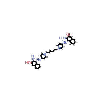 Nc1c(O)cc2ccccc2c1N=Nc1cc[n+](CCCCCC[n+]2ccc(/N=N/c3c(N)c(O)cc4ccccc34)cc2)cc1